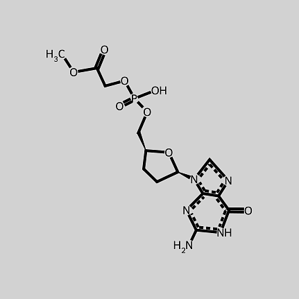 COC(=O)COP(=O)(O)OC[C@@H]1CC[C@H](n2cnc3c(=O)[nH]c(N)nc32)O1